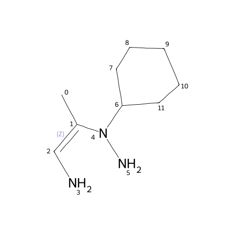 C/C(=C/N)N(N)C1CCCCC1